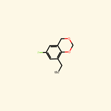 CC(C)(C)Cc1cc(F)cc2c1OCOC2